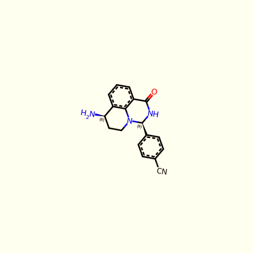 N#Cc1ccc([C@@H]2NC(=O)c3cccc4c3N2CC[C@H]4N)cc1